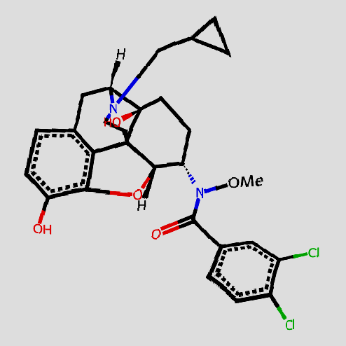 CON(C(=O)c1ccc(Cl)c(Cl)c1)[C@H]1CC[C@@]2(O)[C@H]3Cc4ccc(O)c5c4[C@@]2(CCN3CC2CC2)[C@H]1O5